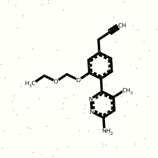 C#CCc1ccc(-c2nnc(N)cc2C)c(OCOCC)c1